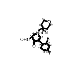 N#CC1(Cn2cc(C=O)c(=O)c(-c3ccc(F)cc3F)c2)CCOCC1